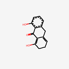 O=C1C2=C(O)CCC=C2Cc2cccc(O)c21